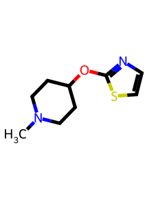 CN1CCC(Oc2nccs2)CC1